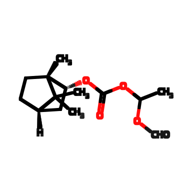 CC(OC=O)OC(=O)O[C@@H]1C[C@@H]2CC[C@@]1(C)C2(C)C